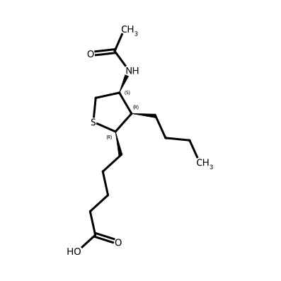 CCCC[C@@H]1[C@H](NC(C)=O)CS[C@@H]1CCCCC(=O)O